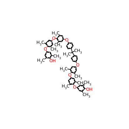 Cc1cc(Oc2c(C)cc(Oc3c(C)cc(Oc4ccc(C(C)(C)c5ccc(Oc6cc(C)c(Oc7cc(C)c(Oc8cc(C)c(O)c(C)c8)c(C)c7)c(C)c6)cc5)cc4)cc3C)cc2C)cc(C)c1O